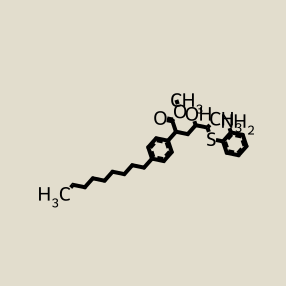 CCCCCCCCCc1ccc(C(CC(O)C(C)Sc2ccccc2N)C(=O)OC)cc1